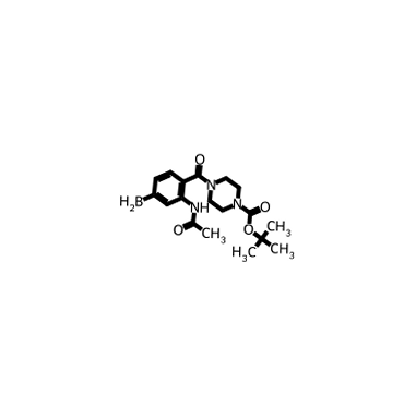 Bc1ccc(C(=O)N2CCN(C(=O)OC(C)(C)C)CC2)c(NC(C)=O)c1